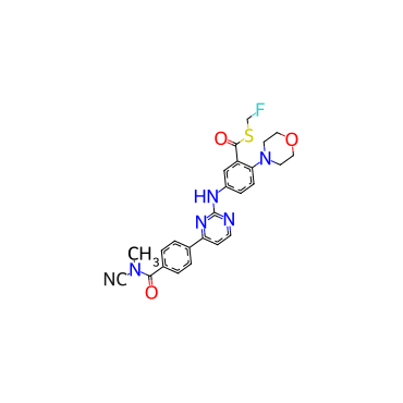 CN(C#N)C(=O)c1ccc(-c2ccnc(Nc3ccc(N4CCOCC4)c(C(=O)SCF)c3)n2)cc1